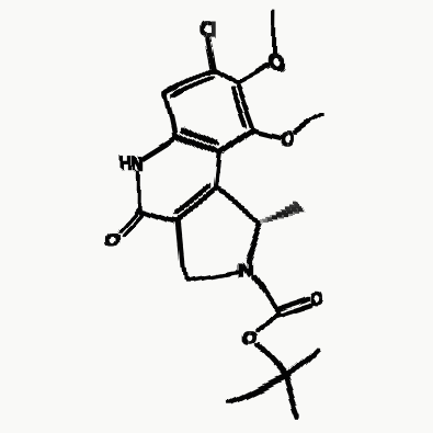 COc1c(Cl)cc2[nH]c(=O)c3c(c2c1OC)[C@H](C)N(C(=O)OC(C)(C)C)C3